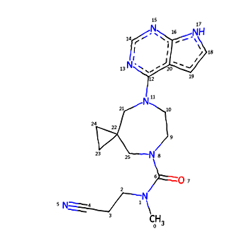 CN(CCC#N)C(=O)N1CCN(c2ncnc3[nH]ccc23)CC2(CC2)C1